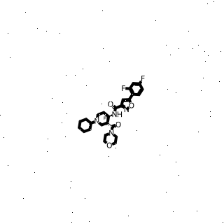 O=C(N[C@@H]1CCN(C2CCCCC2)C[C@H]1C(=O)N1CCOCC1)c1cc(-c2ccc(F)cc2F)on1